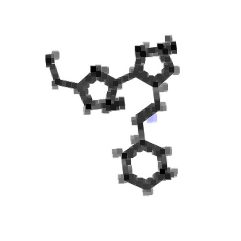 FCc1c[nH]c(-c2n[nH]cc2/C=C/c2cccnc2)n1